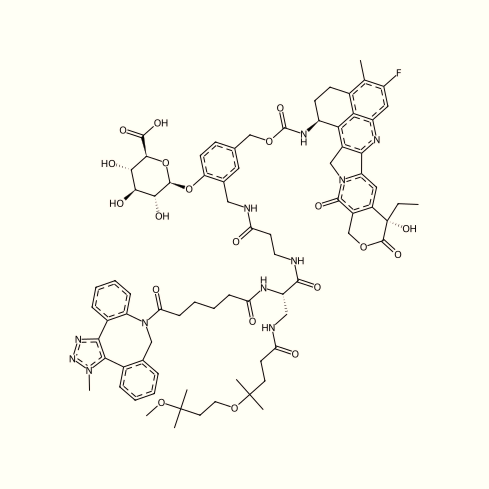 CC[C@@]1(O)C(=O)OCc2c1cc1n(c2=O)Cc2c-1nc1cc(F)c(C)c3c1c2[C@@H](NC(=O)OCc1ccc(O[C@@H]2O[C@H](C(=O)O)[C@@H](O)[C@H](O)[C@H]2O)c(CNC(=O)CCNC(=O)[C@H](CNC(=O)CCC(C)(C)OCCC(C)(C)OC)NC(=O)CCCCC(=O)N2Cc4ccccc4-c4c(nnn4C)-c4ccccc42)c1)CC3